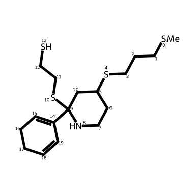 CSCCCSC1CCNC(SCCS)(C2=CCCC=C2)C1